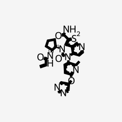 C=CC(=O)N[C@H]1CCC[C@H]1N1C(=O)N(c2ccc(Oc3cncnc3)nc2C)c2ccnc3sc(C(N)=O)c1c23